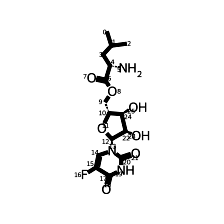 CC(C)C[C@H](N)C(=O)OC[C@H]1O[C@@H](n2cc(F)c(=O)[nH]c2=O)[C@H](O)[C@@H]1O